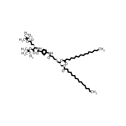 CCCCCCCCCCCCCCCC(=O)OC[C@H](CSCCC(=O)Nc1ccc(C(=O)N[C@@H](CCC(=O)OC(C)(C)C)C(=O)OC(C)(C)C)cc1)OC(=O)CCCCCCCCCCCCCCC